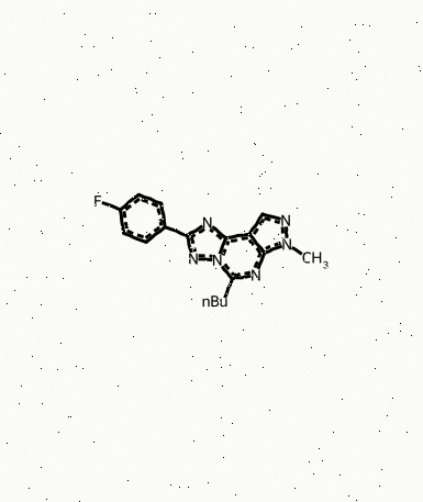 CCCCc1nc2c(cnn2C)c2nc(-c3ccc(F)cc3)nn12